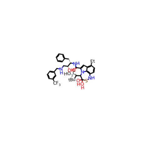 CCc1ccc2c3c1cc(C(=O)N[C@@H](Cc1ccccc1)[C@H](O)CNCc1cccc(C(F)(F)F)c1)n3C(C(C(=O)O)C(C)(C)C)C(O)(O)SN2